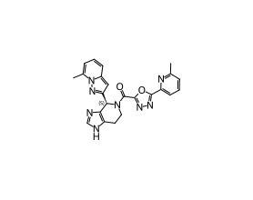 Cc1cccc(-c2nnc(C(=O)N3CCc4[nH]cnc4[C@H]3c3cc4cccc(C)n4n3)o2)n1